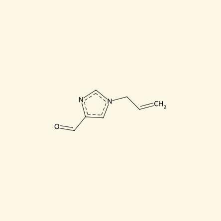 C=CCn1cnc(C=O)c1